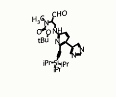 CC(C)[Si](C#Cc1nc(NCC(C=O)N(C)C(=O)OC(C)(C)C)ccc1-c1cncnc1)(C(C)C)C(C)C